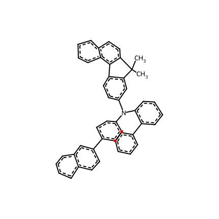 CC1(C)c2cc(N(c3ccc(-c4ccc5ccccc5c4)cc3)c3ccccc3-c3ccccc3)ccc2-c2c1ccc1ccccc21